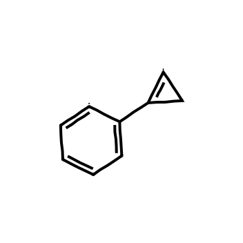 [C]1=C(c2[c]cccc2)C1